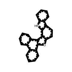 c1ccc2c(c1)[nH]c1c2ccc2oc3c4ccccc4c4ccccc4c3c21